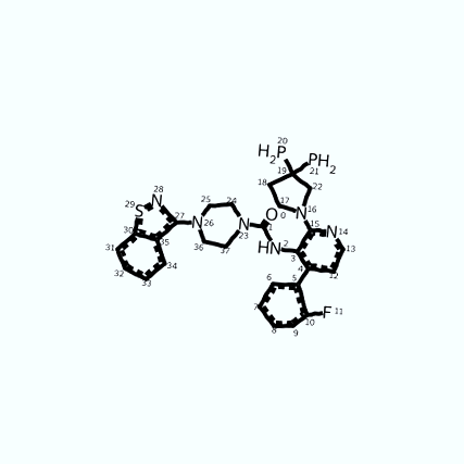 O=C(Nc1c(-c2ccccc2F)ccnc1N1CCC(P)(P)C1)N1CCN(c2nsc3ccccc23)CC1